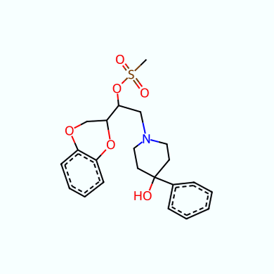 CS(=O)(=O)OC(CN1CCC(O)(c2ccccc2)CC1)C1COc2ccccc2O1